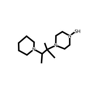 CC(N1CCCCC1)C(C)(C)N1CCN(S)CC1